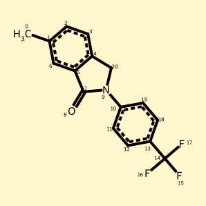 Cc1ccc2c(c1)C(=O)N(c1ccc(C(F)(F)F)cc1)C2